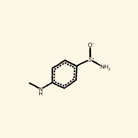 CNc1ccc([S+](N)[O-])cc1